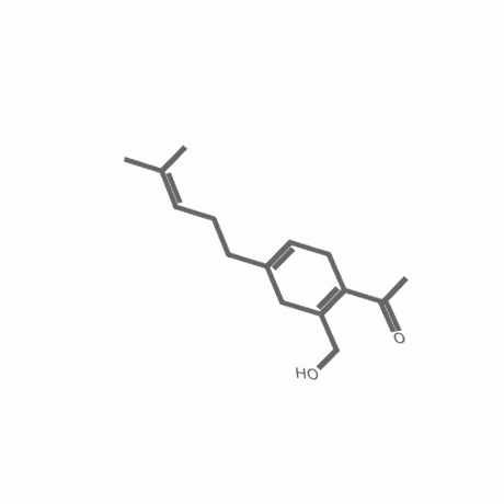 CC(=O)C1=C(CO)CC(CCC=C(C)C)=CC1